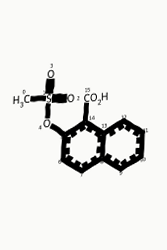 CS(=O)(=O)Oc1ccc2ccccc2c1C(=O)O